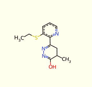 CCSc1cccnc1C1=NN=C(O)C(C)C1